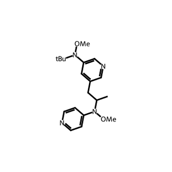 CON(c1ccncc1)C(C)Cc1cncc(N(OC)C(C)(C)C)c1